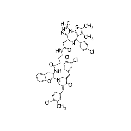 Cc1cc(/C=C2\CN(C(=O)[C@H](Cc3ccccc3)NC(=O)CCCNC(=O)C[C@@H]3N=C(c4ccc(Cl)cc4)c4c(sc(C)c4C)-n4c(C)nnc43)C/C(=C\c3ccc(Cl)c(Cl)c3)C2=O)ccc1Cl